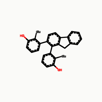 CC(C)(C)c1c(O)cccc1-c1ccc2c(c1-c1cccc(O)c1C(C)(C)C)Cc1ccccc1-2